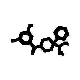 CN(C)C1(c2ccccc2)CCN(C(=O)c2cc(O)cc(Cl)c2)CC1